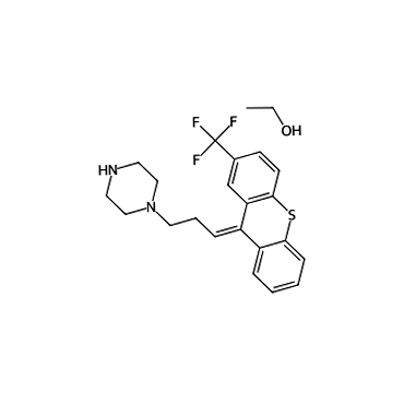 CCO.FC(F)(F)c1ccc2c(c1)C(=CCCN1CCNCC1)c1ccccc1S2